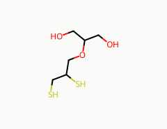 OCC(CO)OCC(S)CS